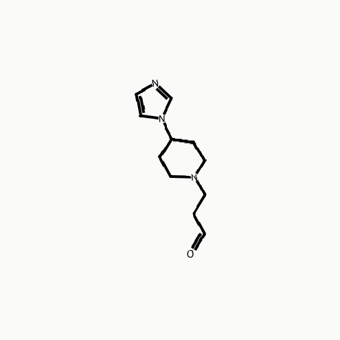 O=CCCN1CCC(n2ccnc2)CC1